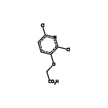 O=C(O)COc1ccc(Cl)nc1Cl